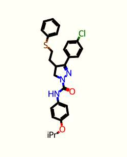 CC(C)Oc1ccc(NC(=O)N2CC(CCSc3ccccc3)C(c3ccc(Cl)cc3)=N2)cc1